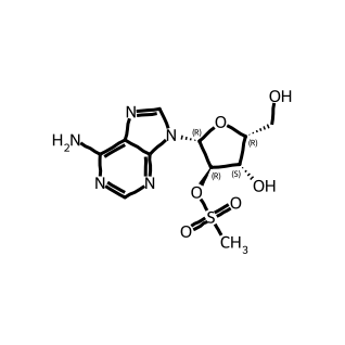 CS(=O)(=O)O[C@@H]1[C@@H](O)[C@@H](CO)O[C@H]1n1cnc2c(N)ncnc21